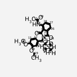 [2H]C([2H])([2H])S(=O)(=O)C([2H])([2H])[C@H](c1ccc(OC)c(OCC)c1)N1C(=O)c2cccc(NC(C)=O)c2C1=O